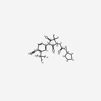 CC1(C)C(=O)N(c2ccc(C#N)c(C(F)(F)F)c2)C(=O)N1CC(=O)OC1CCCC1